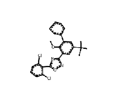 COc1c(-c2ccccc2)cc(C(C)(C)C)cc1-c1noc(-c2c(Cl)cccc2Cl)n1